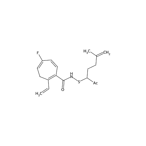 C=CC1=C(C(=O)NSC(CCC(=C)C)C(C)=O)C=CC(F)=CC1